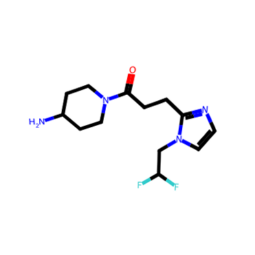 NC1CCN(C(=O)CCc2nccn2CC(F)F)CC1